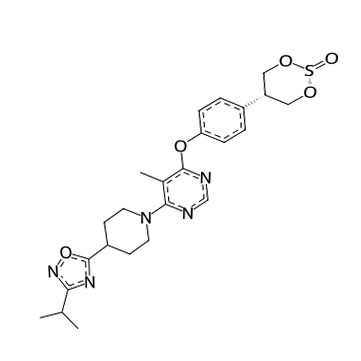 Cc1c(Oc2ccc([C@H]3CO[S@@](=O)OC3)cc2)ncnc1N1CCC(c2nc(C(C)C)no2)CC1